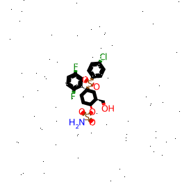 NS(=O)(=O)O[C@H]1CC[C@@](c2cc(F)ccc2F)(S(=O)(=O)c2ccc(Cl)cc2)C[C@H]1CO